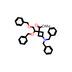 COC(=O)C1(C(COCc2ccccc2)OCc2ccccc2)CC(N(Cc2ccccc2)Cc2ccccc2)C1